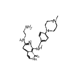 CN1CCN(c2ccc(Nc3nc(NCCN)cc4cc[nH]c(=O)c34)cc2)CC1